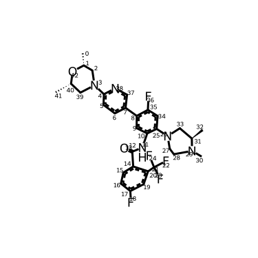 C[C@@H]1CN(c2ccc(-c3cc(NC(=O)c4ccc(F)cc4C(F)(F)F)c(N4CCN(C)[C@H](C)C4)cc3F)cn2)C[C@H](C)O1